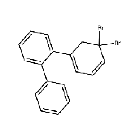 BrC1(Br)C=CC=C(c2ccccc2-c2ccccc2)C1